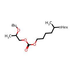 CCCCCCC(C)CCCCOC(=O)OCC(C)OC(C)CC